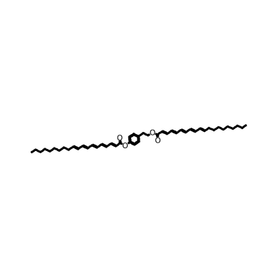 CCCCCCCCCC=CC=CC=CC=CC=CC(=O)OCCc1ccc(OC(=O)C=CC=CC=CC=CC=CCCCCCCCCC)cc1